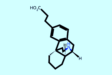 O=C(O)CCc1ccc2c(c1)[C@]13CCCC[C@@H]1[C@@H](C2)NCC3